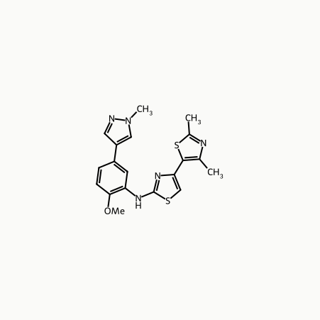 COc1ccc(-c2cnn(C)c2)cc1Nc1nc(-c2sc(C)nc2C)cs1